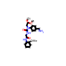 CCOC(CN(C(=O)NCC(=O)Nc1ccccc1OC)c1ccc(CN)cc1)OCC